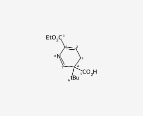 CCOC(=O)C1=CCC(C(=O)O)(C(C)(C)C)C=N1